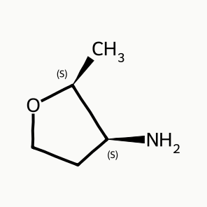 C[C@@H]1OCC[C@@H]1N